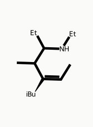 C/C=C(\C(C)C(CC)NCC)[C@H](C)CC